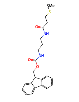 CSSCCC(=O)NCCCNC(=O)OCC1c2ccccc2-c2ccccc21